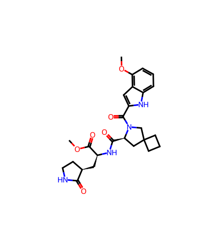 COC(=O)[C@H](C[C@@H]1CCNC1=O)NC(=O)[C@@H]1CC2(CCC2)CN1C(=O)c1cc2c(OC)cccc2[nH]1